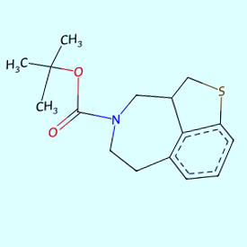 CC(C)(C)OC(=O)N1CCc2cccc3c2C(CS3)C1